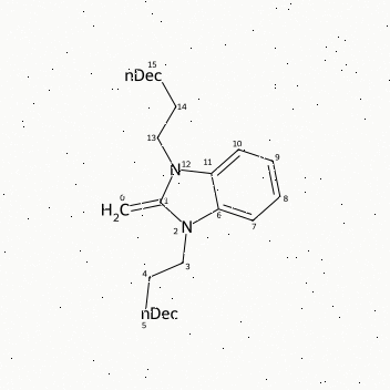 C=C1N(CCCCCCCCCCCC)c2ccccc2N1CCCCCCCCCCCC